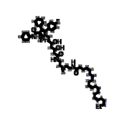 CC/C=C\C/C=C\C/C=C\C/C=C\C/C=C\C/C=C\CCC(=O)NCCN(C)CCNC(=O)C[C@H](O)C[C@H](O)CCn1c(-c2ccc(F)cc2)c(-c2ccccc2)c(C(=O)Nc2ccccc2)c1C(C)C